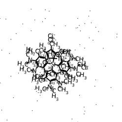 CC1=C(C)[C]([Ti+3])([Si](c2cc(C)c(N(C)C)c(N(C)C)c2N(C)C)(c2cc(C)c(N(C)C)c(N(C)C)c2N(C)C)c2cc(C)c(N(C)C)c(N(C)C)c2N(C)C)C(C)=C1C.[Cl-].[Cl-].[Cl-]